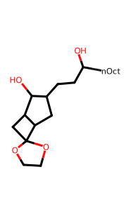 CCCCCCCCC(O)CCC1CC2C(CC23OCCO3)C1O